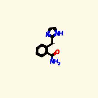 NC(=O)c1ccccc1[CH]c1ncc[nH]1